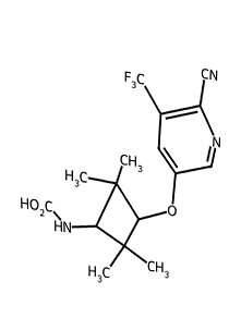 CC1(C)C(NC(=O)O)C(C)(C)C1Oc1cnc(C#N)c(C(F)(F)F)c1